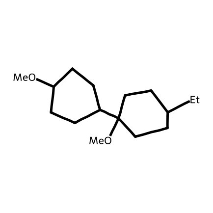 CCC1CCC(OC)(C2CCC(OC)CC2)CC1